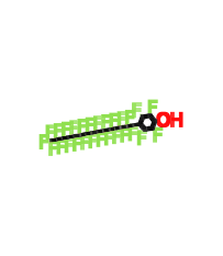 Oc1c(F)c(F)c(C(F)(F)C(F)(F)C(F)(F)C(F)(F)C(F)(F)C(F)(F)C(F)(F)C(F)(F)C(F)(F)C(F)(F)C(F)(F)F)c(F)c1F